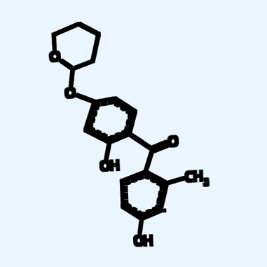 Cc1[c]c(O)ccc1C(=O)c1ccc(OC2CCCCO2)cc1O